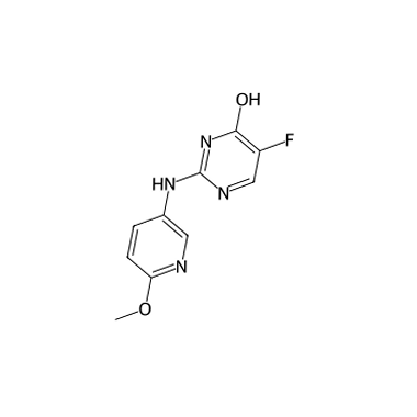 COc1ccc(Nc2ncc(F)c(O)n2)cn1